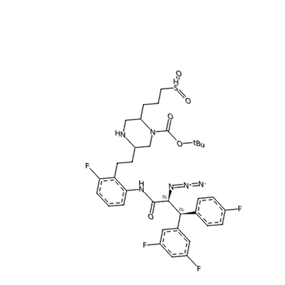 CC(C)(C)OC(=O)N1CC(CCc2c(F)cccc2NC(=O)[C@@H](N=[N+]=[N-])[C@@H](c2ccc(F)cc2)c2cc(F)cc(F)c2)NCC1CCC[SH](=O)=O